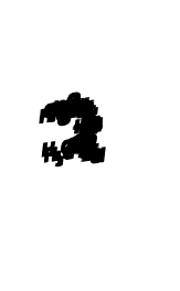 CC1(C)CCC(C(=O)N2C[C@H]3CC(Sc4ccc5c(c4)CN(C4CCC(=O)NC4=O)C5=O)C[C@@H]3C2)=C(c2ccc(Cl)cc2)C1